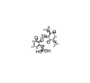 O=C1C=C(N2CC2)C(=O)C(N2CC2)=C1N1CC1.OP(O)Oc1cccc(Cl)c1Cl